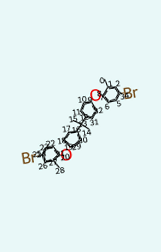 Cc1cc(Br)ccc1Oc1ccc(C(C)(C)c2ccc(Oc3ccc(Br)cc3C)cc2)cc1